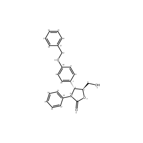 O=C1O[C@H](CO)[C@@H](c2ccc(OCc3ccccc3)cc2)N1c1ccccc1